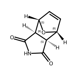 O=C1NC(=O)[C@H]2[C@@H]1[C@@H]1C=C[C@H]2O1